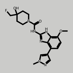 COc1ccc(-c2cnn(C)c2)c2nc(NC(=O)N3CCC(O)(CF)CC3)[nH]c12